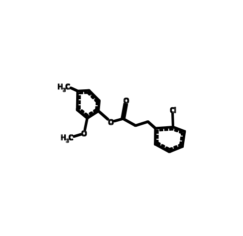 COc1cc(C)ccc1OC(=O)CCc1ccccc1Cl